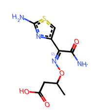 CC(CC(=O)O)O/N=C(\C([NH])=O)c1csc(N)n1